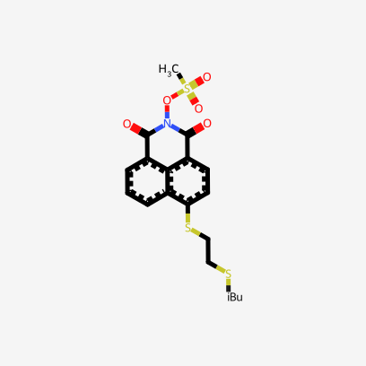 CCC(C)SCCSc1ccc2c3c(cccc13)C(=O)N(OS(C)(=O)=O)C2=O